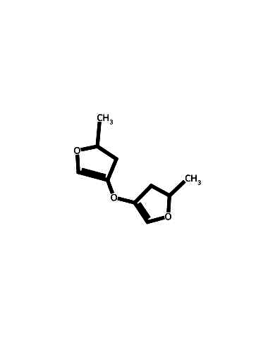 CC1CC(OC2=COC(C)C2)=CO1